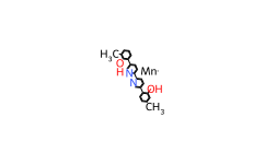 Cc1ccc(-c2ccc(-c3ccc(-c4cccc(C)c4O)cn3)nc2)c(O)c1.[Mn]